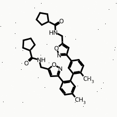 Cc1ccc(-c2cc(CNC(=O)C3CCCC3)on2)c(-c2cc(-c3cc(CNC(=O)C4CCCC4)on3)ccc2C)c1